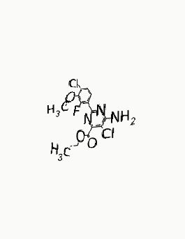 CCCOC(=O)c1nc(-c2ccc(Cl)c(OC)c2F)nc(N)c1Cl